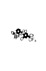 O=C(Nc1c(Cl)cc(C(=O)C(F)(F)F)cc1Cl)c1cccc([NH+]([O-])O)c1F